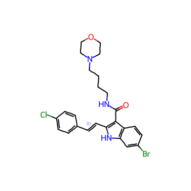 O=C(NCCCCN1CCOCC1)c1c(/C=C/c2ccc(Cl)cc2)[nH]c2cc(Br)ccc12